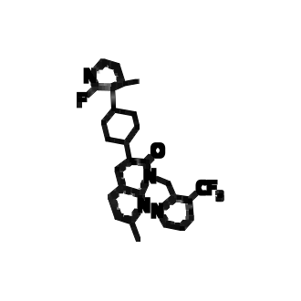 Cc1ccc2cc(C3CCC(c4c(C)ccnc4F)CC3)c(=O)n(Cc3ncccc3C(F)(F)F)c2n1